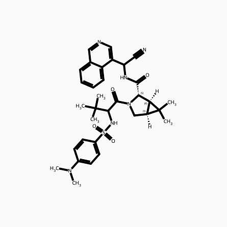 CN(C)c1ccc(S(=O)(=O)NC(C(=O)N2C[C@H]3[C@@H]([C@H]2C(=O)NC(C#N)c2cncc4ccccc24)C3(C)C)C(C)(C)C)cc1